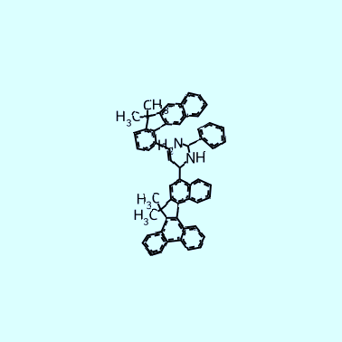 CC1(C)c2cc3ccccc3cc2-c2c(/C=C/C(NC(N)c3ccccc3)c3cc4c(c5ccccc35)-c3c(c5ccccc5c5ccccc35)C4(C)C)cccc21